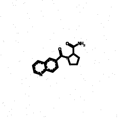 NC(=O)C1CCCN1C(=O)c1ccc2ncccc2c1